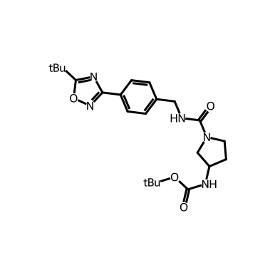 CC(C)(C)OC(=O)NC1CCN(C(=O)NCc2ccc(-c3noc(C(C)(C)C)n3)cc2)C1